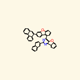 c1ccc2cc(-c3nc(-c4cccc5oc6cc(-c7cc8ccccc8c8ccccc78)ccc6c45)c4oc5ccccc5c4n3)ccc2c1